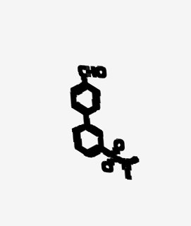 CN(C)S(=O)(=O)c1cccc(-c2ccc(C=O)cc2)c1